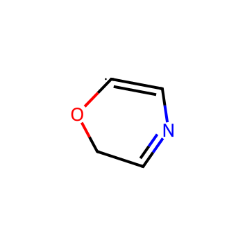 [C]1=CN=CCO1